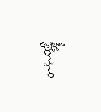 CNC(=O)N(S)S(=O)(=O)c1cc(CCNC(=O)/C=C/c2cccs2)ccc1-c1ccco1